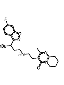 CCCCC(CCNCCc1c(C)nc2n(c1=O)CCCC2)c1noc2cc(F)ccc12